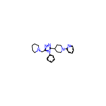 c1ccc(-n2c(CN3CCCCC3)nnc2C2CCN(c3ccccn3)CC2)cc1